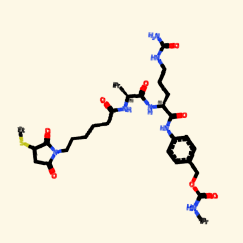 CCSC1CC(=O)N(CCCCCC(=O)N[C@H](C(=O)N[C@@H](CCCNC(N)=O)C(=O)Nc2ccc(COC(=O)NC(C)C)cc2)C(C)C)C1=O